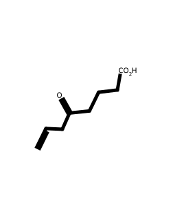 C=CCC(=O)CCCC(=O)O